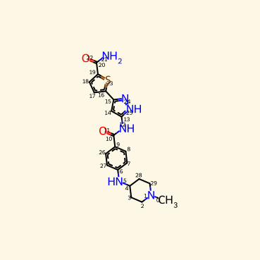 CN1CCC(Nc2ccc(C(=O)Nc3cc(-c4ccc(C(N)=O)s4)n[nH]3)cc2)CC1